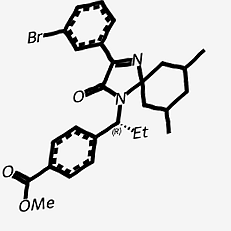 CC[C@H](c1ccc(C(=O)OC)cc1)N1C(=O)C(c2cccc(Br)c2)=NC12CC(C)CC(C)C2